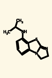 CC(C)Nc1cccc2c1SC1=NCCN12